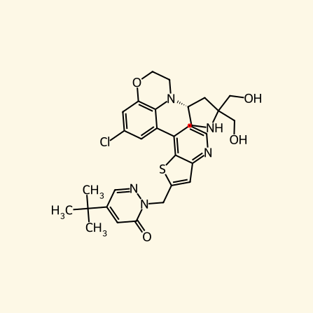 CC(C)(C)c1cnn(Cc2cc3nccc(-c4cc(Cl)cc5c4N([C@H]4CNC(CO)(CO)C4)CCO5)c3s2)c(=O)c1